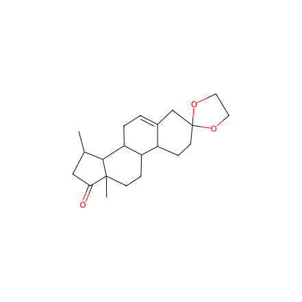 CC1CC(=O)C2(C)CCC3C4CCC5(CC4=CCC3C12)OCCO5